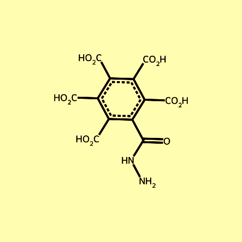 NNC(=O)c1c(C(=O)O)c(C(=O)O)c(C(=O)O)c(C(=O)O)c1C(=O)O